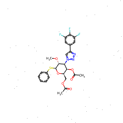 CO[C@@H]1[C@@H](n2cc(-c3cc(F)c(F)c(F)c3)nn2)[C@@H](OC(C)=O)[C@@H](COC(C)=O)O[C@H]1Sc1ccccc1